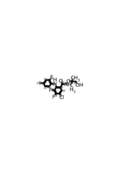 CC(C)(CO)ONC(=O)c1cc(Cl)c(F)c(F)c1Nc1ccc(I)cc1F